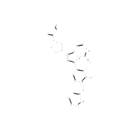 C=CC(=O)N1CCC(c2cc(-c3ccc(Oc4ccccn4)c(F)c3)n3c(N)nccc23)C1